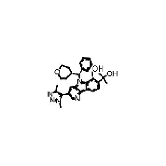 Cc1nnn(C)c1-c1cnc2c3ccc(C(C)(C)O)c(CO)c3n([C@H](c3ccccc3)C3CCOCC3)c2c1